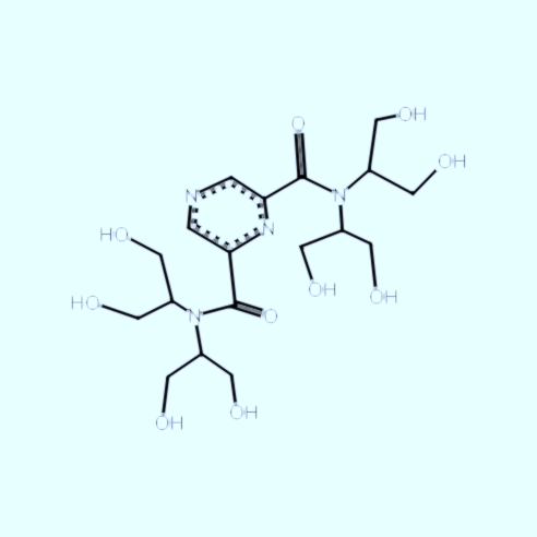 O=C(c1cncc(C(=O)N(C(CO)CO)C(CO)CO)n1)N(C(CO)CO)C(CO)CO